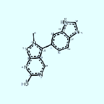 Cn1nc2nc(O)ncc2c1-c1ccc2nc[nH]c2c1